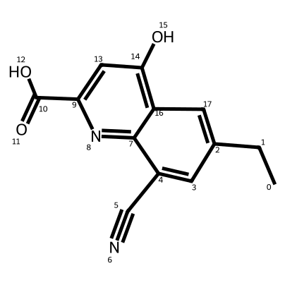 CCc1cc(C#N)c2nc(C(=O)O)cc(O)c2c1